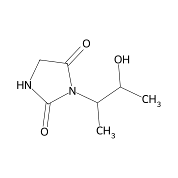 CC(O)C(C)N1C(=O)CNC1=O